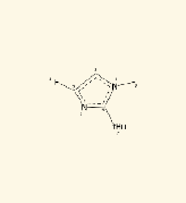 Cn1cc(F)nc1C(C)(C)C